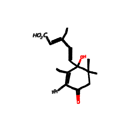 CCCC1=C(C)C(O)(C=CC(C)=CC(=O)O)C(C)(C)CC1=O